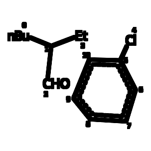 CCCCC(C=O)CC.Clc1ccccc1